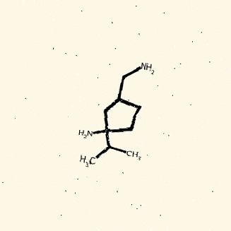 CC(C)C1(N)CCC(CN)C1